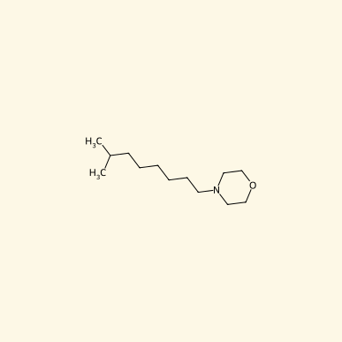 CC(C)CCCCCCN1CCOCC1